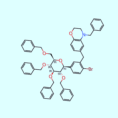 Brc1ccc([C@@H]2O[C@H](COCc3ccccc3)[C@@H](OCc3ccccc3)[C@H](OCc3ccccc3)[C@H]2OCc2ccccc2)cc1Cc1ccc2c(c1)N(Cc1ccccc1)CCO2